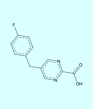 O=C(O)c1ncc(Cc2ccc(F)cc2)cn1